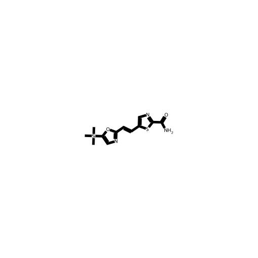 C[Si](C)(C)c1cnc(C=Cc2cnc(C(N)=O)s2)o1